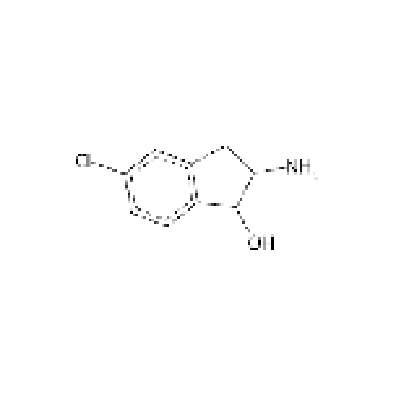 NC1Cc2cc(Cl)ccc2C1O